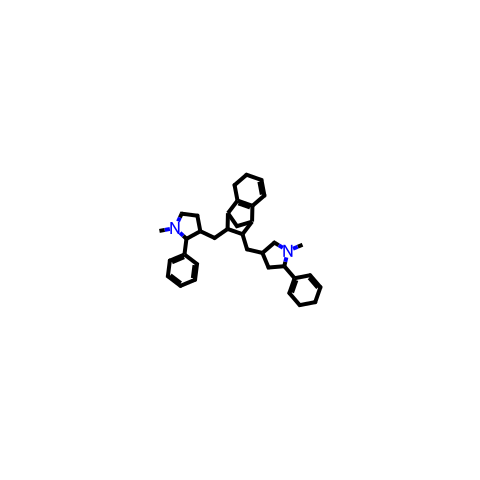 CN1CC(CC2C3CC(C4=C3C=CCC4)C2CC2CCN(C)C2c2ccccc2)CC1C1=CCCC=C1